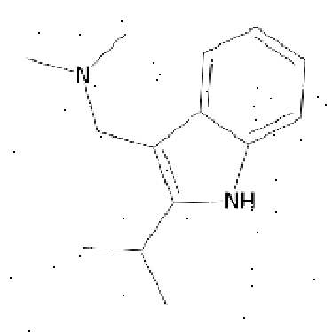 CC(C)c1[nH]c2ccccc2c1CN(C)C